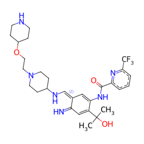 CC(C)(O)C1=CC(=N)/C(=C\NC2CCN(CCOC3CCNCC3)CC2)C=C1NC(=O)c1cccc(C(F)(F)F)n1